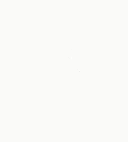 N.P.c1cnc2c(c1)CCCCC2